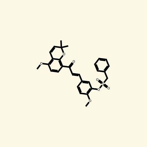 COc1ccc(/C=C/C(=O)c2ccc(OC)c3c2OC(C)(C)C=C3)cc1OS(=O)(=O)Cc1ccccc1